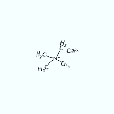 C[N+](C)(C)C.[Ca+2]